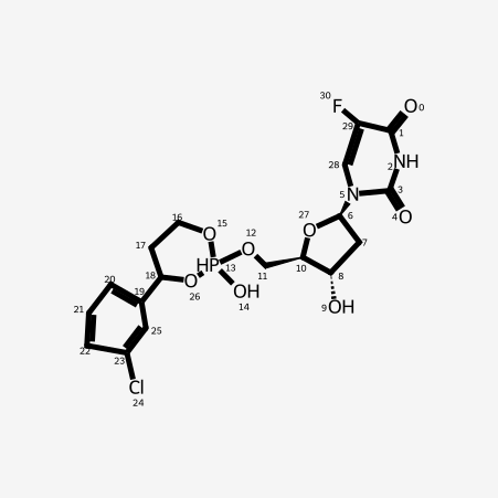 O=c1[nH]c(=O)n([C@H]2C[C@H](O)[C@@H](CO[PH]3(O)OCCC(c4cccc(Cl)c4)O3)O2)cc1F